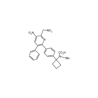 CC(C)(C)N(C(=O)O)C1(c2ccc(-c3nc(C[N+](=O)[O-])c([N+](=O)[O-])cc3-c3ccccc3)cc2)CCC1